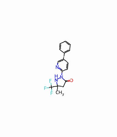 CC1(C(F)(F)F)CC(=O)N(c2ccc(-c3ccccc3)cn2)N1